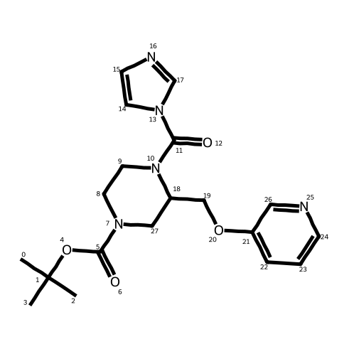 CC(C)(C)OC(=O)N1CCN(C(=O)n2ccnc2)C(COc2cccnc2)C1